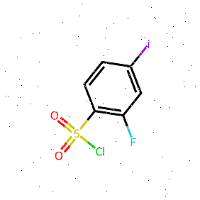 O=S(=O)(Cl)c1ccc(I)cc1F